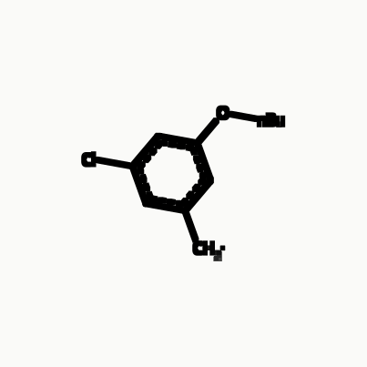 [CH2]c1cc(Cl)cc(OCCCC)c1